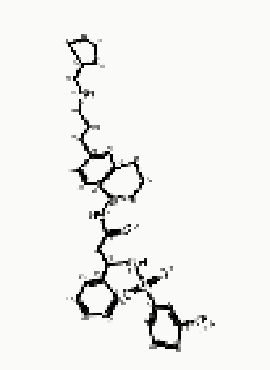 O=C(CC(NS(=O)(=O)c1cccc(C(F)(F)F)c1)c1ccccc1)NC1CCCc2cc(CCCNCC3CCCC3)ccc21